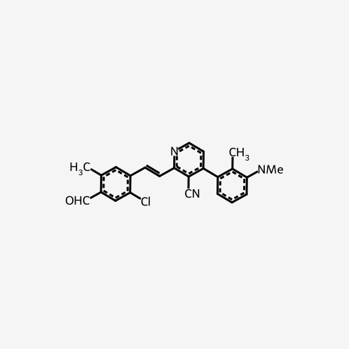 CNc1cccc(-c2ccnc(/C=C/c3cc(C)c(C=O)cc3Cl)c2C#N)c1C